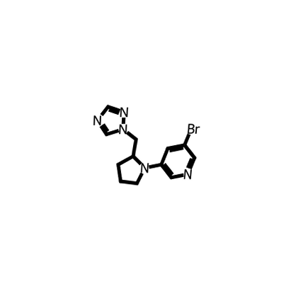 Brc1cncc(N2CCCC2Cn2cncn2)c1